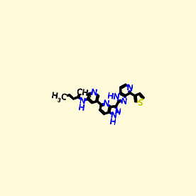 C=C(CCC)Nc1cncc(-c2ccc3[nH]nc(-c4nc5c(-c6ccsc6)nccc5[nH]4)c3n2)c1